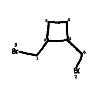 BrCC1CCC1CBr